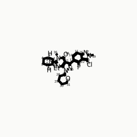 CC[C@@H]1C[C@@H]2CC[C@H]1N2c1nc2c(c(-c3ccc4nn(C)c(Cl)c4c3F)nn2C2CCCCO2)c(=O)n1C